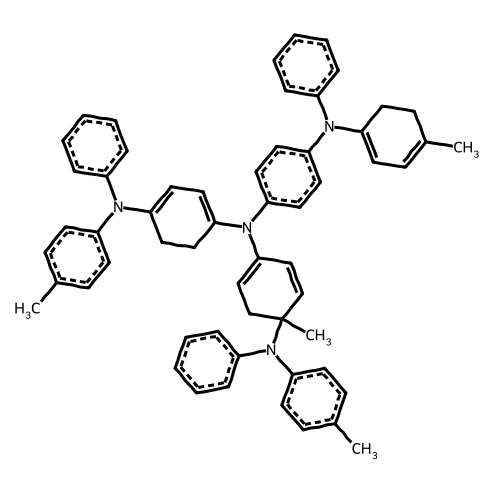 CC1=CC=C(N(c2ccccc2)c2ccc(N(C3=CCC(C)(N(c4ccccc4)c4ccc(C)cc4)C=C3)C3=CC=C(N(c4ccccc4)c4ccc(C)cc4)CC3)cc2)CC1